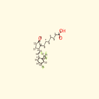 O=C(O)CCCCCCC1C(=O)CCC1/C=C/c1ccc(F)cc1C(F)(F)F